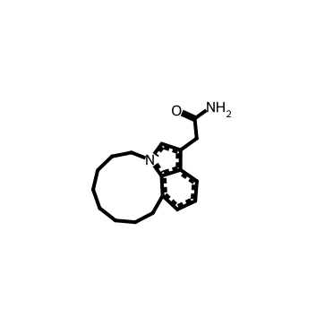 NC(=O)Cc1cn2c3c(cccc13)CCCCCCCC2